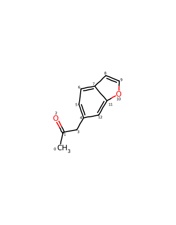 CC(=O)Cc1ccc2ccoc2c1